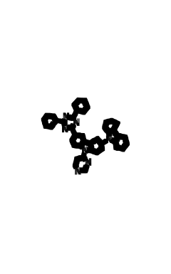 c1ccc(-c2nc(-c3ccccc3)nc(-c3ccc4c(c3)c3cc(-n5c6ccccc6c6ccccc65)ccc3n4-c3ccncn3)n2)cc1